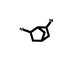 [2H]C1CC2CC([2H])C1C2